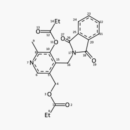 CCC(=O)OCc1cnc(C)c(OC(=O)CC)c1CN1C(=O)c2ccccc2C1=O